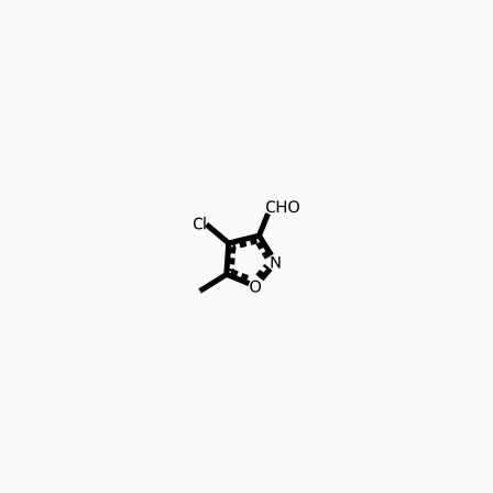 Cc1onc(C=O)c1Cl